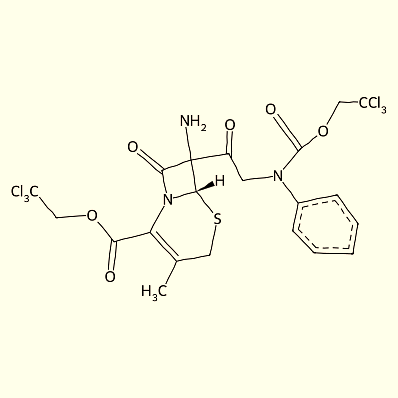 CC1=C(C(=O)OCC(Cl)(Cl)Cl)N2C(=O)C(N)(C(=O)CN(C(=O)OCC(Cl)(Cl)Cl)c3ccccc3)[C@@H]2SC1